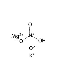 O=[N+]([O-])O.[K+].[Mg+2].[O-2]